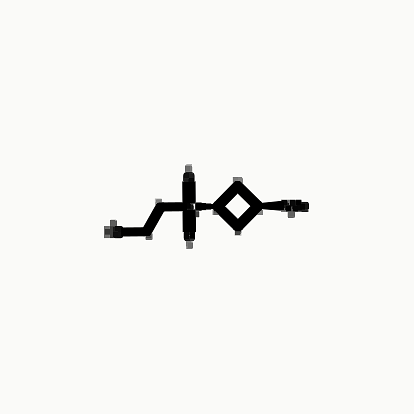 CN[C@H]1C[C@H](S(=O)(=O)CCO)C1